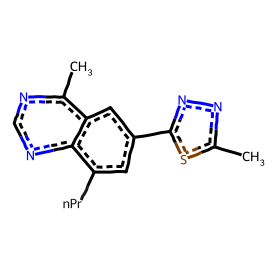 CCCc1cc(-c2nnc(C)s2)cc2c(C)ncnc12